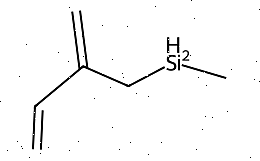 C=CC(=C)C[SiH2]C